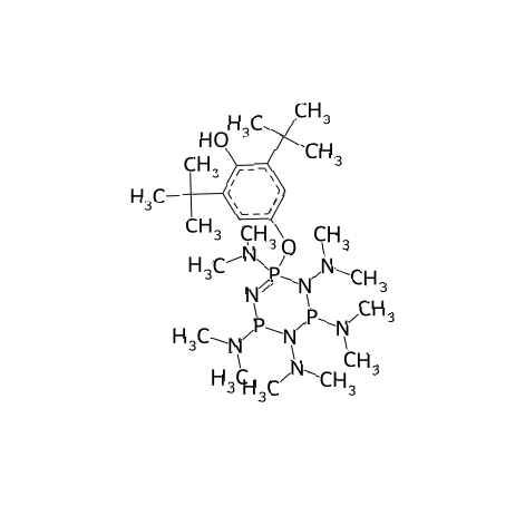 CN(C)N1P(N(C)C)N=P(Oc2cc(C(C)(C)C)c(O)c(C(C)(C)C)c2)(N(C)C)N(N(C)C)P1N(C)C